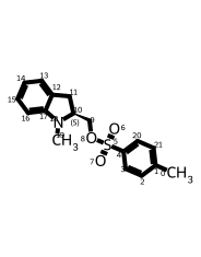 Cc1ccc(S(=O)(=O)OC[C@@H]2Cc3ccccc3N2C)cc1